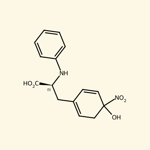 O=C(O)[C@H](CC1=CCC(O)([N+](=O)[O-])C=C1)Nc1ccccc1